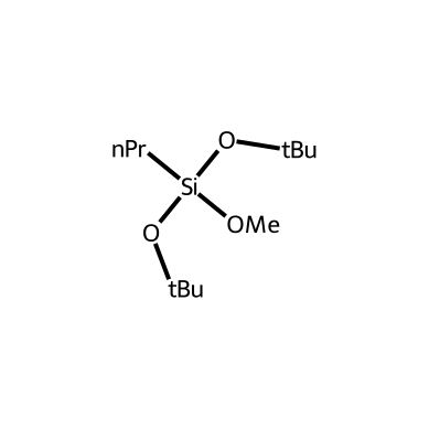 CCC[Si](OC)(OC(C)(C)C)OC(C)(C)C